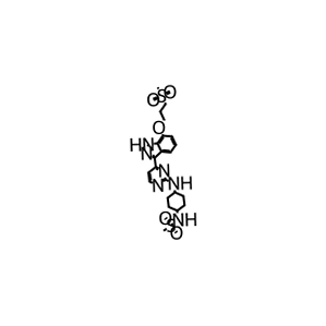 CS(=O)(=O)CCCOc1cccc2c(-c3ccnc(NC4CCC(NS(C)(=O)=O)CC4)n3)n[nH]c12